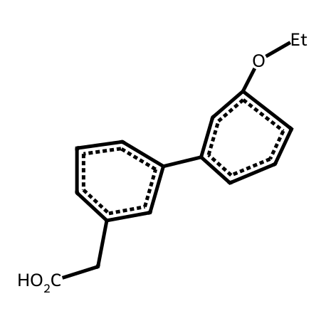 CCOc1cccc(-c2cccc(CC(=O)O)c2)c1